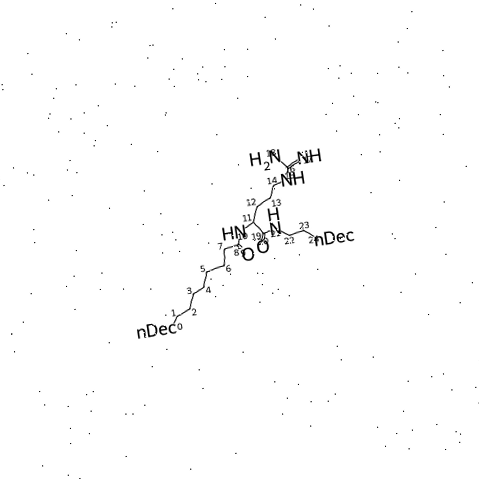 CCCCCCCCCCCCCCCCCC(=O)NC(CCCNC(=N)N)C(=O)NCCCCCCCCCCCC